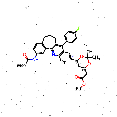 CNC(=O)Nc1ccc2c(c1)-c1nc(C(C)C)c(/C=C/[C@@H]3C[C@H](CC(=O)OC(C)(C)C)OC(C)(C)O3)c(-c3ccc(F)cc3)c1CCC2